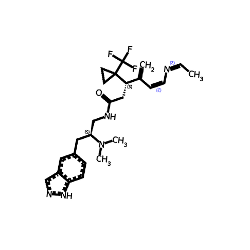 C=C(/C=C\N=C/C)[C@H](CC(=O)NC[C@H](Cc1ccc2[nH]ncc2c1)N(C)C)C1(C(F)(F)F)CC1